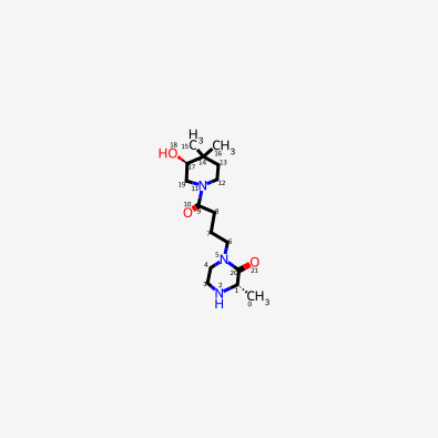 C[C@@H]1NCCN(CCCC(=O)N2CCC(C)(C)[C@H](O)C2)C1=O